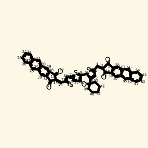 O=C1C(=Cc2cc3c(s2)-c2sc4cc(C=C5C(=O)c6cc7cc8ccccc8cc7cc6C5=O)sc4c2OC32CCCCC2)C(=O)c2cc3cc4ccccc4cc3cc21